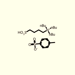 CCCC[N+](CCCC)(CCCC)CCCCS(=O)(=O)O.Cc1ccc(S(=O)(=O)[O-])cc1